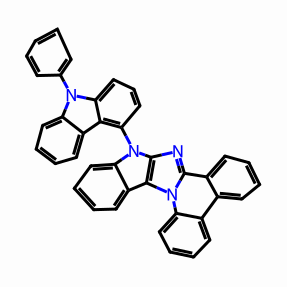 c1ccc(-n2c3ccccc3c3c(-n4c5ccccc5c5c4nc4c6ccccc6c6ccccc6n45)cccc32)cc1